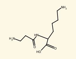 NCCCCC(NC(=O)CCN)C(=O)O